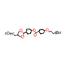 CCCCCCCCCCCC1COC(c2ccc(OC(=O)c3ccc(OCCCC(C)CC)cc3)cc2)OC1